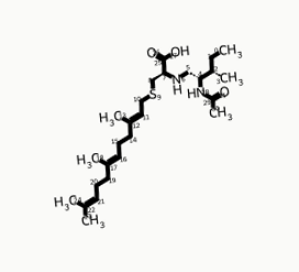 CC[C@H](C)[C@@H](CN[C@@H](CSC/C=C(\C)CC/C=C(\C)CCC=C(C)C)C(=O)O)NC(C)=O